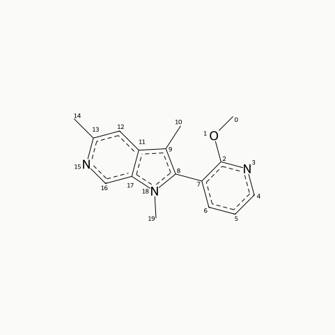 COc1ncccc1-c1c(C)c2cc(C)ncc2n1C